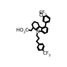 O=C(O)CC1CCCc2c1n(CCCc1ccc(C(F)(F)F)cc1)c1cccc(-c3cccc(OC(F)(F)F)c3)c21